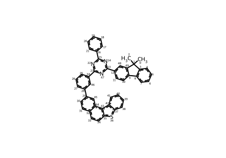 CC1(C)c2ccccc2-c2ccc(-c3nc(-c4ccccc4)nc(-c4cccc(-c5ccc6ccc7sc8ccccc8c7c6c5)c4)n3)cc21